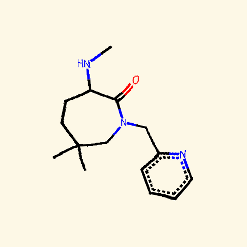 CNC1CCC(C)(C)CN(Cc2ccccn2)C1=O